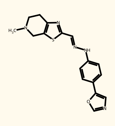 CN1CCc2nc(C=NNc3ccc(-c4cnco4)cc3)sc2C1